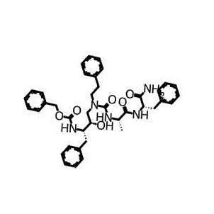 C[C@H](NC(=O)N(CCc1ccccc1)C[C@@H](O)[C@H](Cc1ccccc1)NC(=O)OCc1ccccc1)C(=O)N[C@@H](Cc1ccccc1)C(N)=O